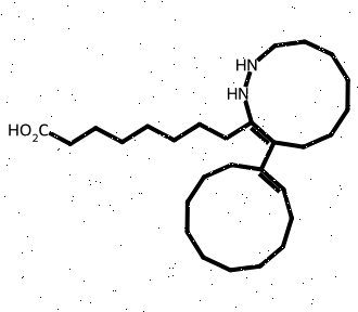 O=C(O)CCCCCCCC1=C(C2=CCCCCCCCCC2)CCCCCCCNN1